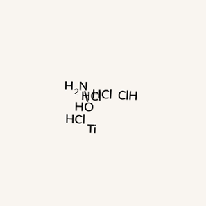 Cl.Cl.Cl.Cl.NO.[Ti]